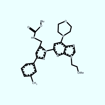 COCCn1cnc2c(N3CCOCC3)cc(-n3nc(-c4cccc(C)c4)cc3CNC(=O)OC(C)(C)C)nc21